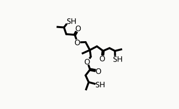 CC(S)CC(=O)CC(C)(COC(=O)CC(C)S)COC(=O)CC(C)S